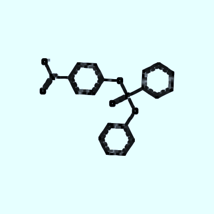 O=[N+]([O-])c1ccc(OP(=O)(Oc2ccccc2)c2ccccc2)cc1